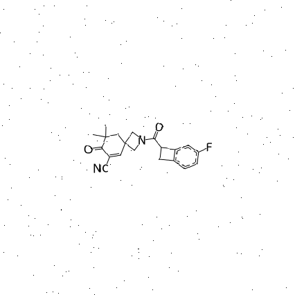 CC1(C)CC2(C=C(C#N)C1=O)CN(C(=O)C1Cc3ccc(F)cc31)C2